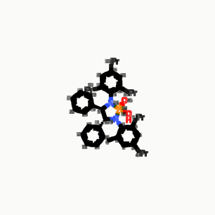 Cc1cc(C(C)C)cc(C(C)C)c1N1[C@H](c2ccccc2)[C@@H](c2ccccc2)N(c2c(C(C)C)cc(C(C)C)cc2C(C)C)P1(=O)O